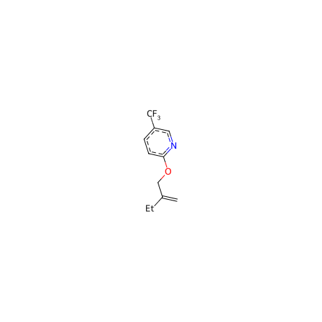 C=C(CC)COc1ccc(C(F)(F)F)cn1